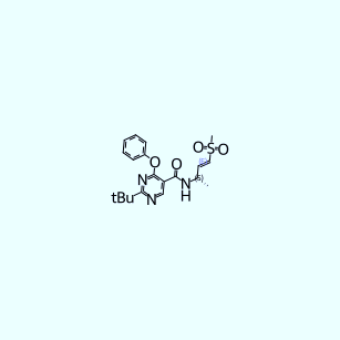 C[C@@H](/C=C/S(C)(=O)=O)NC(=O)c1cnc(C(C)(C)C)nc1Oc1ccccc1